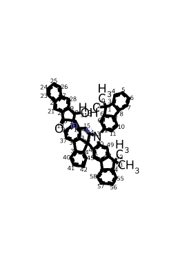 CC1(C)c2ccccc2-c2ccc(N3/C(=C/C=C4/C(=O)c5cc6ccccc6cc5C4O)C4(c5ccccc5-c5ccccc54)c4cc5c(cc43)C(C)(C)c3ccccc3-5)cc21